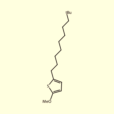 COc1ccc(CCCCCCCCC(C)(C)C)s1